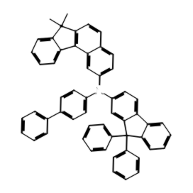 CC1(C)c2ccccc2-c2c1ccc1ccc(N(c3ccc(-c4ccccc4)cc3)c3ccc4c(c3)C(c3ccccc3)(c3ccccc3)c3ccccc3-4)cc21